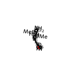 COc1cc(N)c(Cl)cc1C(=O)N[C@@H]1CCN(CCCCCC(=O)O[C@@H]2C3CCN2CC3)C[C@@H]1OC